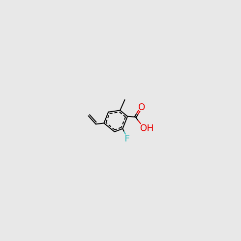 C=Cc1cc(C)c(C(=O)O)c(F)c1